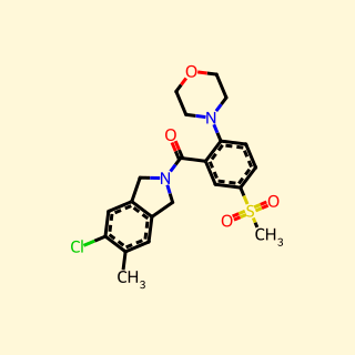 Cc1cc2c(cc1Cl)CN(C(=O)c1cc(S(C)(=O)=O)ccc1N1CCOCC1)C2